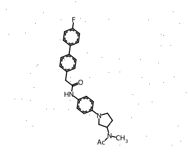 CC(=O)N(C)C1CCN(c2ccc(NC(=O)Cc3ccc(-c4ccc(F)cc4)cc3)cc2)C1